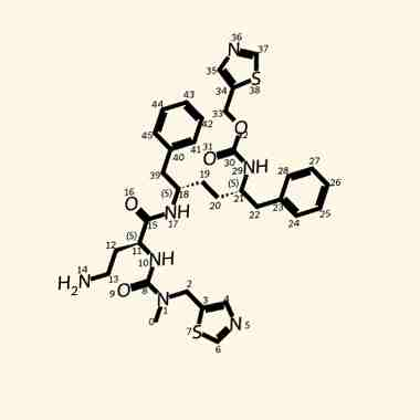 CN(Cc1cncs1)C(=O)N[C@@H](CCN)C(=O)N[C@@H](CC[C@@H](Cc1ccccc1)NC(=O)OCc1cncs1)Cc1ccccc1